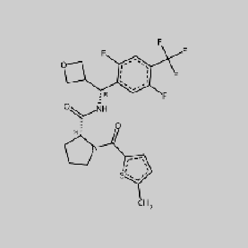 Cc1ccc(C(=O)N2CCC[C@@H]2C(=O)N[C@@H](c2cc(F)c(C(F)(F)F)cc2F)C2COC2)s1